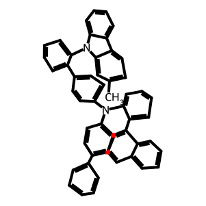 Cc1ccc2c3ccccc3n(-c3ccccc3-c3ccc(N(c4ccc(-c5ccccc5)cc4)c4ccccc4-c4cccc5ccccc45)cc3)c2c1